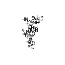 CCN(CC)C(=O)N/C(=N/C=N)c1ccc([C@]2(C#N)O[C@H](CO[Si](C)(C)C(C)(C)C)[C@H]3OC(C)(C)O[C@H]32)[nH]1